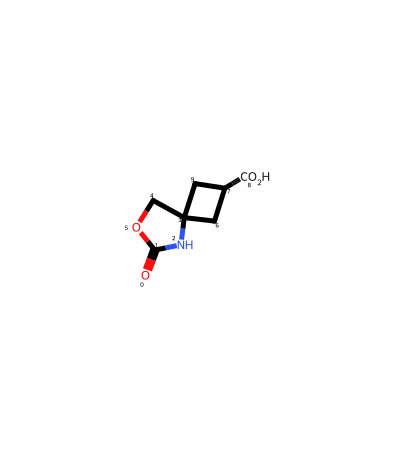 O=C1NC2(CO1)CC(C(=O)O)C2